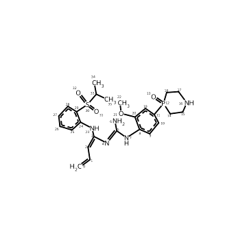 C=C/C=C(\N=C(/N)Nc1ccc(P2(=O)CCNCC2)cc1OC)Nc1ccccc1S(=O)(=O)C(C)C